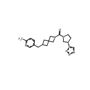 O=C(N1CC[C@@H](n2cnnn2)C1)N1CC2(CC(Cc3ccc(C(F)(F)F)nc3)C2)C1